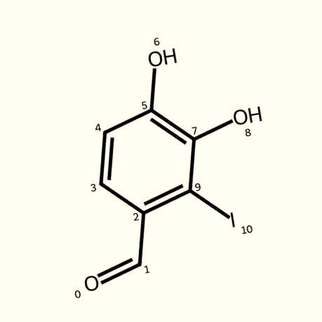 O=Cc1ccc(O)c(O)c1I